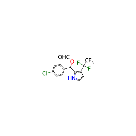 O=COC(c1ccc(Cl)cc1)c1[nH]ccc1C(F)(F)C(F)(F)F